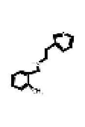 Cc1ccccc1CNCCc1cccnc1